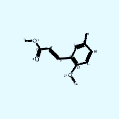 COC(=O)C=Cc1cc(C)ccc1OC